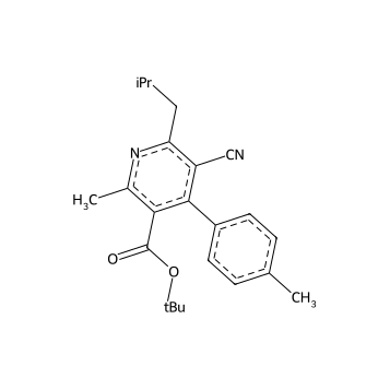 Cc1ccc(-c2c(C#N)c(CC(C)C)nc(C)c2C(=O)OC(C)(C)C)cc1